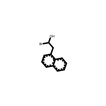 OC(Br)Cc1cccc2ccccc12